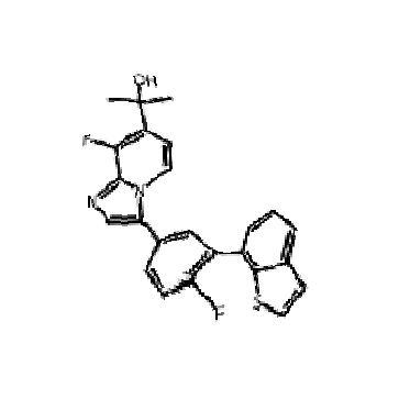 CC(C)(O)c1ccn2c(-c3ccc(F)c(-c4cccc5ccsc45)c3)cnc2c1F